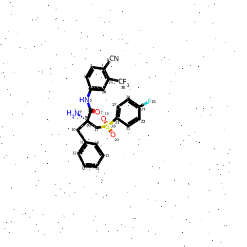 N#Cc1ccc(NC(=O)[C@](N)(Cc2ccccc2)CS(=O)(=O)c2ccc(F)cc2)cc1C(F)(F)F